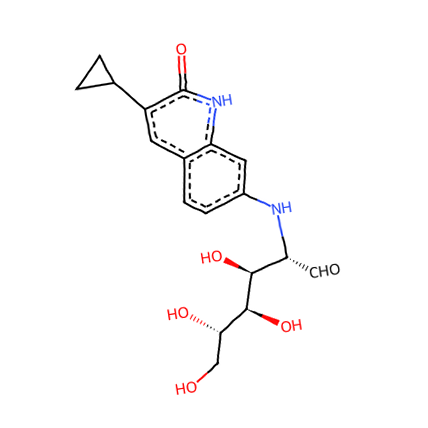 O=C[C@@H](Nc1ccc2cc(C3CC3)c(=O)[nH]c2c1)[C@H](O)[C@@H](O)[C@@H](O)CO